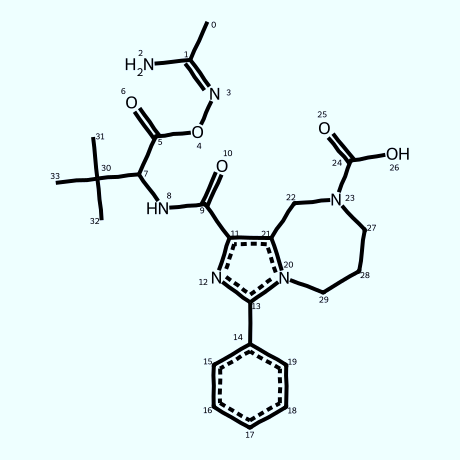 C/C(N)=N/OC(=O)C(NC(=O)c1nc(-c2ccccc2)n2c1CN(C(=O)O)CCC2)C(C)(C)C